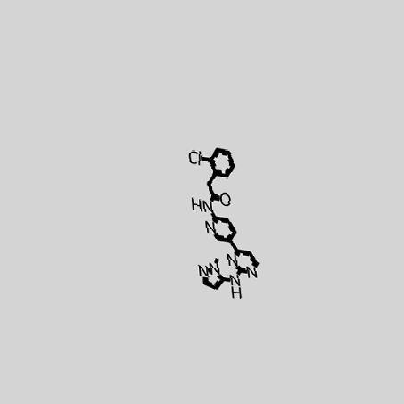 Cn1nccc1Nc1nccc(-c2ccc(NC(=O)Cc3ccccc3Cl)nc2)n1